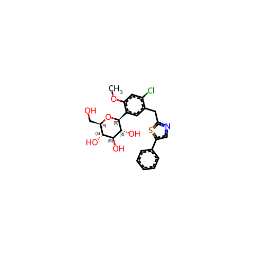 COc1cc(Cl)c(Cc2ncc(-c3ccccc3)s2)cc1[C@@H]1O[C@H](CO)[C@@H](O)[C@H](O)[C@H]1O